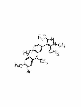 Cc1ccc(-c2c(C)nn(C)c2C)cc1N(C)c1ccc(C#N)c(Br)c1